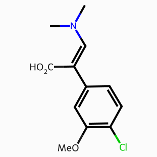 COc1cc(/C(=C/N(C)C)C(=O)O)ccc1Cl